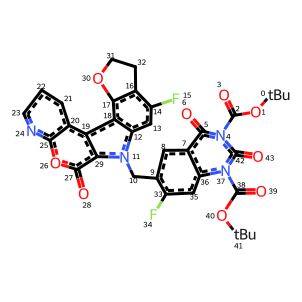 CC(C)(C)OC(=O)n1c(=O)c2cc(Cn3c4cc(F)c5c(c4c4c6cccnc6oc(=O)c43)OCC5)c(F)cc2n(C(=O)OC(C)(C)C)c1=O